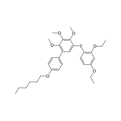 CCCCCCOc1ccc(-c2cc([I+]c3ccc(OCC)cc3OCC)c(OC)c(OC)c2OC)cc1